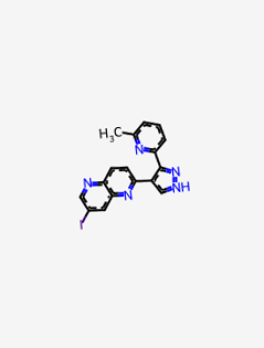 Cc1cccc(-c2n[nH]cc2-c2ccc3ncc(I)cc3n2)n1